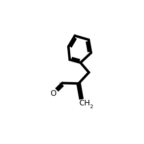 C=C([C]=O)Cc1ccccc1